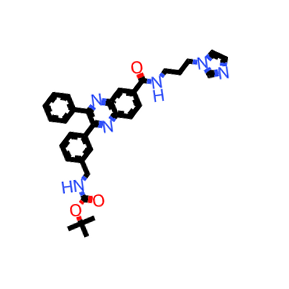 CC(C)(C)OC(=O)NCc1cccc(-c2nc3ccc(C(=O)NCCCn4ccnc4)cc3nc2-c2ccccc2)c1